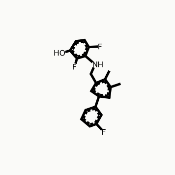 Cc1cc(-c2cccc(F)c2)cc(CNc2c(F)ccc(O)c2F)c1C